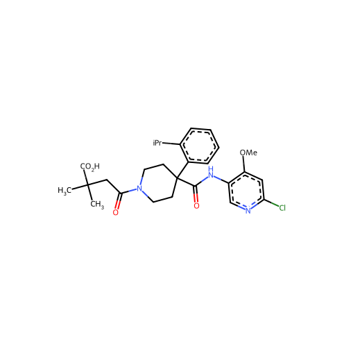 COc1cc(Cl)ncc1NC(=O)C1(c2ccccc2C(C)C)CCN(C(=O)CC(C)(C)C(=O)O)CC1